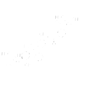 CCC(C)(C)Oc1ccc(C(C)(c2ccccc2)c2ccc(OC(=O)c3cccc(C(=O)C(C)(C)CC)c3)c(C)c2)cc1C